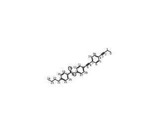 CCC#Cc1ccc(C#Cc2ccc(OC(=O)c3ccc(CCCC)cc3)cc2)cc1